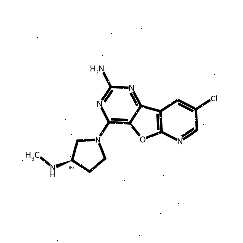 CN[C@@H]1CCN(c2nc(N)nc3c2oc2ncc(Cl)cc23)C1